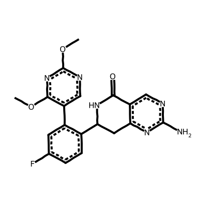 COc1ncc(-c2cc(F)ccc2C2Cc3nc(N)ncc3C(=O)N2)c(OC)n1